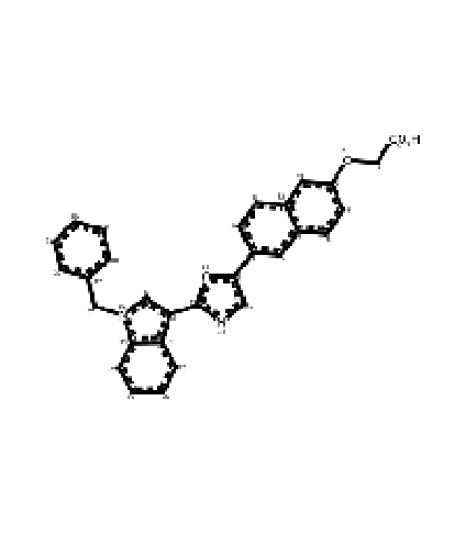 O=C(O)COc1ccc2cc(-c3cnc(-c4cn(Cc5ccccc5)c5ccccc45)o3)ccc2c1